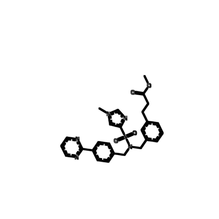 COC(=O)CCc1cccc(CN(Cc2ccc(-c3ncccn3)cc2)S(=O)(=O)c2cn(C)cn2)c1